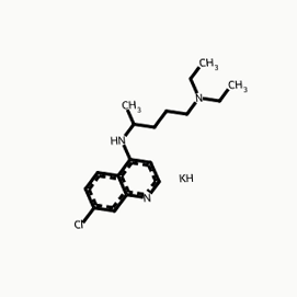 CCN(CC)CCCC(C)Nc1ccnc2cc(Cl)ccc12.[KH]